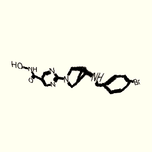 O=C(NO)c1cnc(N2CC3C(C2)C3NCc2ccc(Br)cc2)nc1